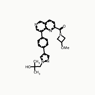 COC1CN(C(=O)c2ccc3cncc(-c4ccc(-c5cnn(CC(C)(C)O)c5)cc4)c3n2)C1